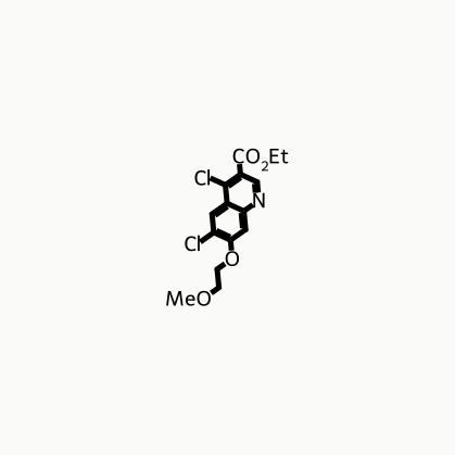 CCOC(=O)c1cnc2cc(OCCOC)c(Cl)cc2c1Cl